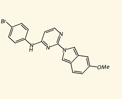 COc1ccc2cn(-c3nccc(Nc4ccc(Br)cc4)n3)cc2c1